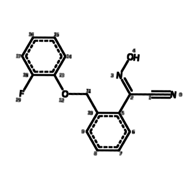 N#CC(=NO)c1ccccc1COc1ccccc1F